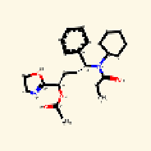 CCC(=O)N(C1CCCCC1)[C@H](CC[C@@H](OC(C)=O)C1=NCCO1)c1ccccc1